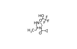 CC[C@H]1CNCCN1C(=O)C1CC1.O=C(O)C(F)(F)F